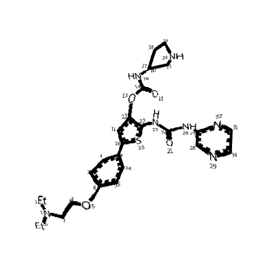 CCN(CC)CCOc1ccc(-c2cc(OC(=O)N[C@H]3CCNC3)c(NC(=O)Nc3cnccn3)s2)cc1